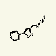 [N-]=[N+]=NCc1cc(-c2ccncc2)on1